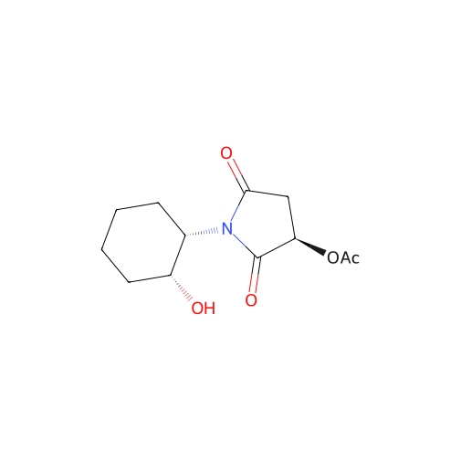 CC(=O)O[C@@H]1CC(=O)N([C@H]2CCCC[C@H]2O)C1=O